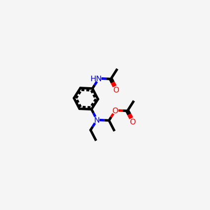 CCN(c1cccc(NC(C)=O)c1)C(C)OC(C)=O